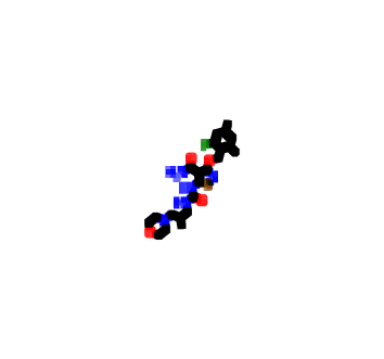 Cc1cc(C)c(COc2nsc(NC(=O)NCC(C)CN3CCOCC3)c2C(N)=O)c(F)c1